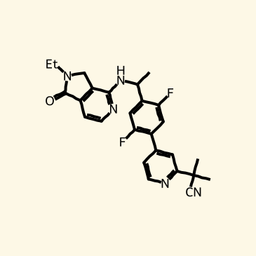 CCN1Cc2c(ccnc2NC(C)c2cc(F)c(-c3ccnc(C(C)(C)C#N)c3)cc2F)C1=O